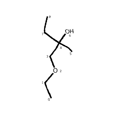 CCOCC(C)(O)CC